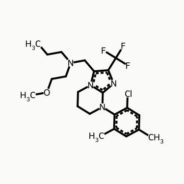 CCCN(CCOC)Cc1c(C(F)(F)F)nc2n1CCCN2c1c(C)cc(C)cc1Cl